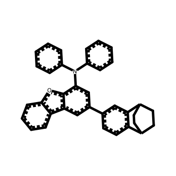 c1ccc(N(c2ccccc2)c2cc(-c3ccc4c(c3)C3CCC4CC3)cc3c2oc2ccccc23)cc1